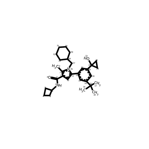 Cc1c(C(=O)NC2CCC2)cc(-c2cc(C(C)(C)C)cc(C3(O)CC3)c2)n1CC1CCCCC1